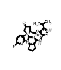 CC(C)c1cc(Nc2nc([N+]3(c4ccc(F)nc4)CC(=O)CC3C(N)=O)nc3c2CCC3)n[nH]1